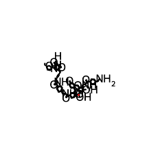 CC[C@@H]1CC[C@H](n2cc(CC#CCNC(=O)c3ccc(CNC(=O)c4ccc(C(=O)O)c(-c5c6ccc(=O)cc-6oc6c(CNC(=O)c7ccc(CN)cc7)c(O)ccc56)c4)cc3)c(=O)[nH]c2=O)O1